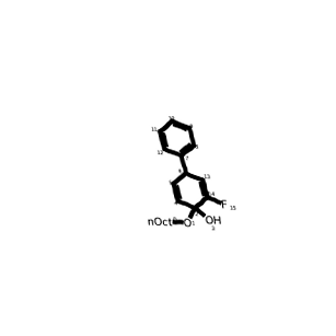 CCCCCCCCOC1(O)C=CC(c2ccccc2)C=C1F